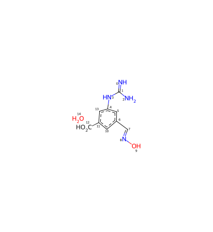 N=C(N)Nc1cc(C=NO)cc(C(=O)O)c1.O